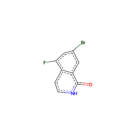 O=c1[nH]ccc2c(F)cc(Br)cc12